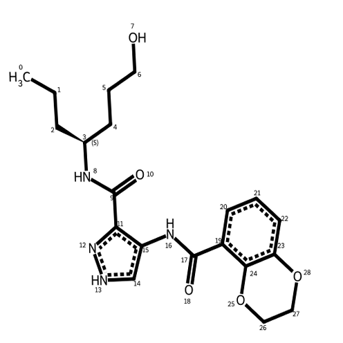 CCC[C@@H](CCCO)NC(=O)c1n[nH]cc1NC(=O)c1cccc2c1OCCO2